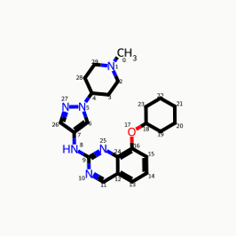 CN1CCC(n2cc(Nc3ncc4cccc(OC5CCCCC5)c4n3)cn2)CC1